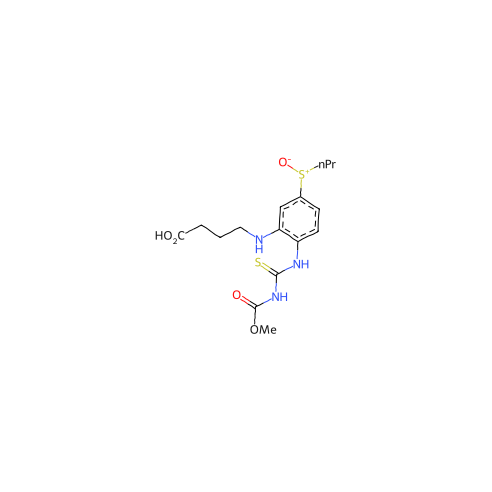 CCC[S+]([O-])c1ccc(NC(=S)NC(=O)OC)c(NCCCC(=O)O)c1